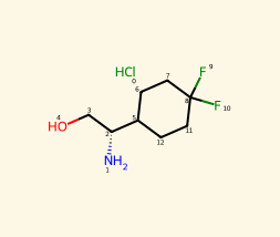 Cl.N[C@H](CO)C1CCC(F)(F)CC1